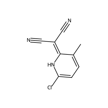 CC1=CC=C(Cl)NC1=C(C#N)C#N